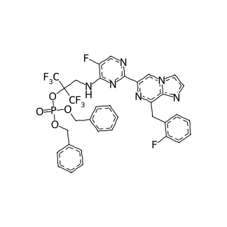 O=P(OCc1ccccc1)(OCc1ccccc1)OC(CNc1nc(-c2cn3ccnc3c(Cc3ccccc3F)n2)ncc1F)(C(F)(F)F)C(F)(F)F